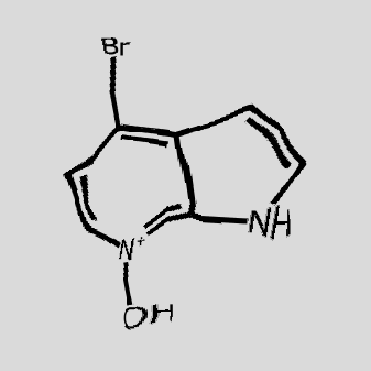 O[n+]1ccc(Br)c2cc[nH]c21